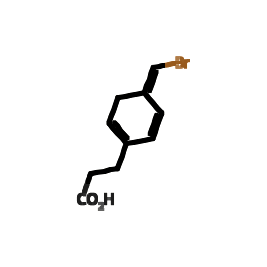 O=C(O)CCC1=CCC(=CBr)C=C1